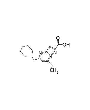 CCc1cc(CC2CCCCC2)nc2cc(C(=O)O)nn12